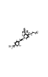 Nc1ccc(C#Cc2ccc(OCCCCl)c(C(F)(F)F)c2)cc1